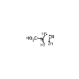 N#[C][Zn].O=C(O)N(S)S